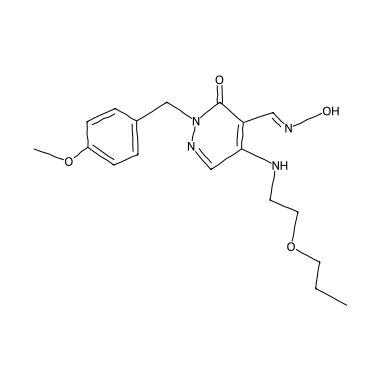 CCCOCCNc1cnn(Cc2ccc(OC)cc2)c(=O)c1/C=N/O